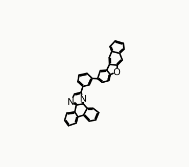 c1cc(-c2ccc3oc4cc5ccccc5cc4c3c2)cc(-c2cnc3c4ccccc4c4ccccc4c3n2)c1